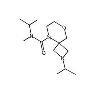 CC(C)N1CC2(COCCN2C(=O)N(C)C(C)C)C1